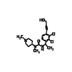 CC(NC(=O)N(C)C1CCN(C)CC1)c1ccc(C#CCO)c(Cl)c1Cl